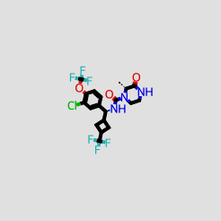 C[C@@H]1C(=O)NCCN1C(=O)N[C@@H](c1ccc(OC(F)(F)F)c(Cl)c1)C1CC(C(F)(F)F)C1